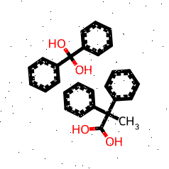 CC(c1ccccc1)(c1ccccc1)C(O)O.OC(O)(c1ccccc1)c1ccccc1